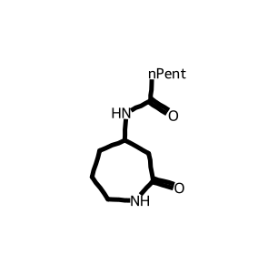 CCCCCC(=O)NC1CCCNC(=O)C1